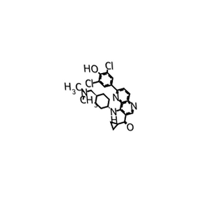 CN(C)C[C@H]1CC[C@H](Nc2c(C(=O)C3CC3)cnc3ccc(-c4cc(Cl)c(O)c(Cl)c4)nc23)CC1